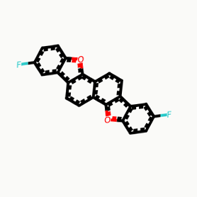 Fc1ccc2oc3c(ccc4c3ccc3c5cc(F)ccc5oc34)c2c1